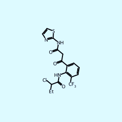 CCC(Cl)C(=O)Nc1c(C(=O)CC(=O)Nc2nccs2)cccc1C(F)(F)F